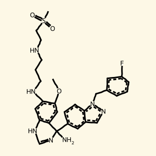 COc1cc2c(cc1NCCCNCCS(C)(=O)=O)NC=NC2(N)c1ccc2c(cnn2Cc2cccc(F)c2)c1